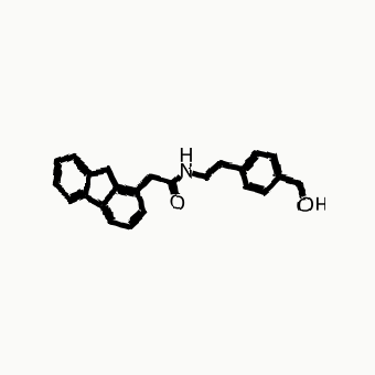 O=C(Cc1cccc2c1Cc1ccccc1-2)NCCc1ccc(CO)cc1